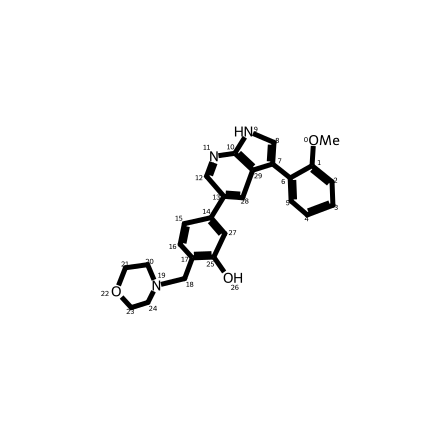 COc1ccccc1-c1c[nH]c2ncc(-c3ccc(CN4CCOCC4)c(O)c3)cc12